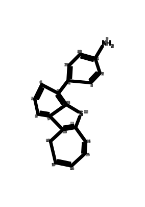 Nc1ccc(-c2cccc3c4c(sc23)C=CC=CC4)cc1